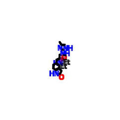 CCNP(=O)(CC)C(=Cc1ccc2c(c1)CC(=O)N2)CNc1nc(C)c[nH]1